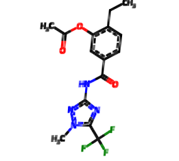 CCc1ccc(C(=O)Nc2nc(C(F)(F)F)n(C)n2)cc1OC(C)=O